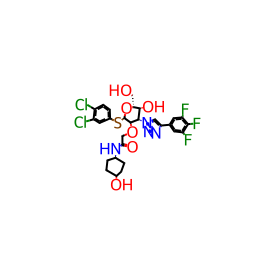 O=C(CO[C@@H]1[C@@H](n2cc(-c3cc(F)c(F)c(F)c3)nn2)[C@@H](O)[C@@H](CO)O[C@@H]1Sc1ccc(Cl)c(Cl)c1)N[C@H]1CC[C@H](O)CC1